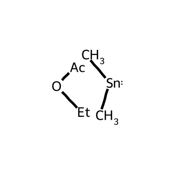 CCOC(C)=O.[CH3][Sn][CH3]